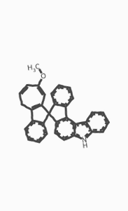 COC1=CC2=C(CC=C1)c1ccccc1C21c2ccccc2-c2c1ccc1[nH]c3ccccc3c21